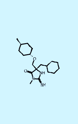 CN1C(=N)NC(CO[C@H]2CC[C@H](C)CC2)(CC2CCCCC2)C1=O